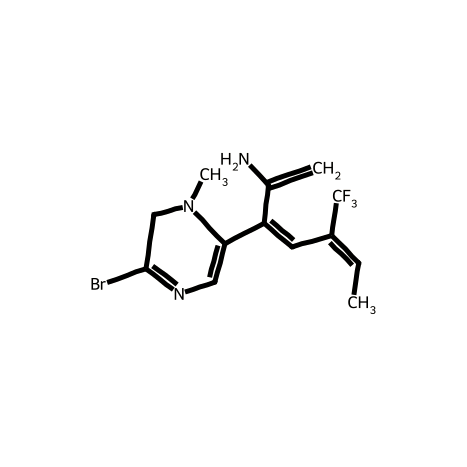 C=C(N)/C(=C\C(=C/C)C(F)(F)F)C1=CN=C(Br)CN1C